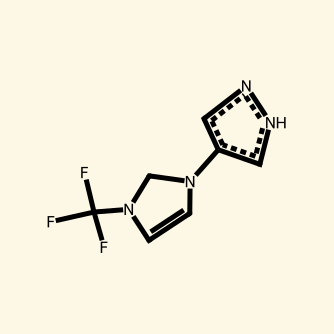 FC(F)(F)N1C=CN(c2cn[nH]c2)C1